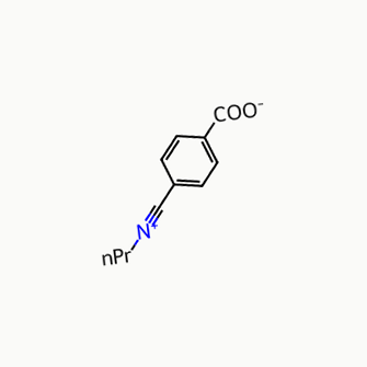 CCC[N+]#Cc1ccc(C(=O)[O-])cc1